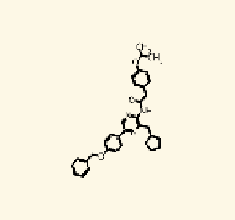 CC(C)Oc1ccc(CC(=O)Nc2ncc(-c3ccc(OCc4ccccc4)cc3)nc2CC2CCCC2)cc1